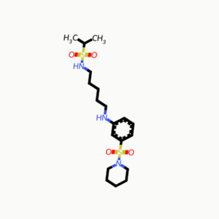 CC(C)S(=O)(=O)NCCCCCNc1cccc(S(=O)(=O)N2CCCCC2)c1